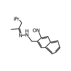 CC(CC(C)C)=NNCc1cc2ccccc2cc1N=O